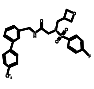 O=C(CN(CC1COC1)S(=O)(=O)c1ccc(F)cc1)NCc1cccc(-c2ccc(C(F)(F)F)cc2)c1